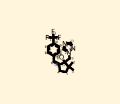 CC1(C)CC/C(=C/c2ccc(C(F)(F)F)cc2)C1(O)Cn1cncn1